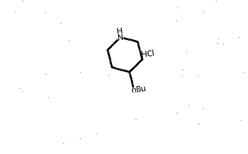 CCCCC1CCNCC1.Cl